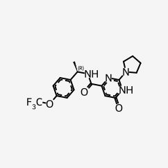 C[C@@H](NC(=O)c1cc(=O)[nH]c(N2CCCC2)n1)c1ccc(OC(F)(F)F)cc1